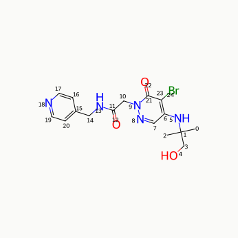 CC(C)(CO)Nc1cnn(CC(=O)NCc2ccncc2)c(=O)c1Br